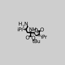 CC(C)[C@@H](CN)C[C@@](N)(C(=O)OC(C)(C)C)[C@@H]1C[C@@H](C(C)C)C(=O)O1